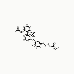 COC(=O)CCCCc1ccc(C)c(CNC2(c3cnccc3-c3ccccc3OC3CC3)CC2)n1